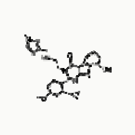 COc1ccc(-c2nc3sc4c(O)cccc4c3c(=O)n2CCNCc2nnn(C)n2)c(C2CC2)c1